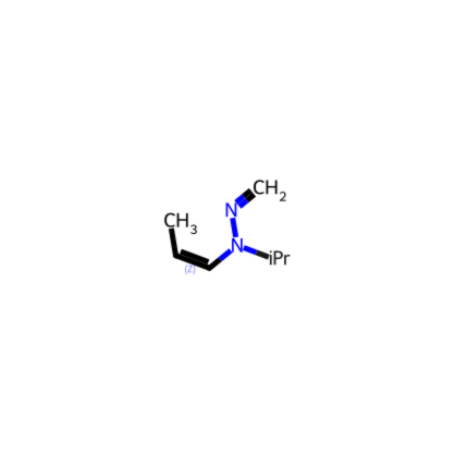 C=NN(/C=C\C)C(C)C